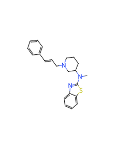 CN(c1nc2ccccc2s1)C1CCCN(CC=Cc2ccccc2)C1